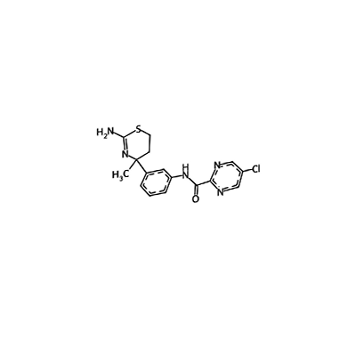 CC1(c2cccc(NC(=O)c3ncc(Cl)cn3)c2)CCSC(N)=N1